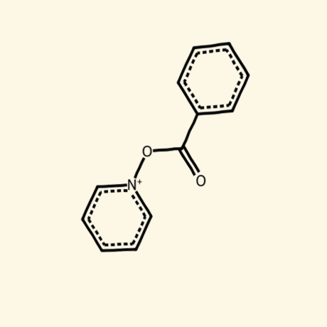 O=C(O[n+]1ccccc1)c1ccccc1